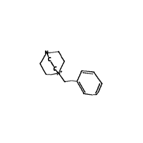 c1ccc(C[N+]23CCN(CC2)CC3)cc1